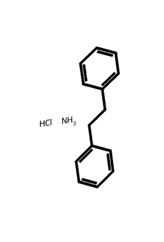 Cl.N.c1ccc(CCc2ccccc2)cc1